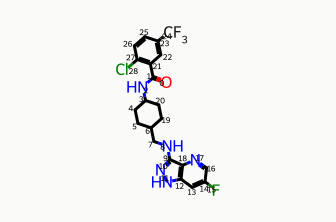 O=C(NC1CCC(CNc2n[nH]c3cc(F)cnc23)CC1)c1cc(C(F)(F)F)ccc1Cl